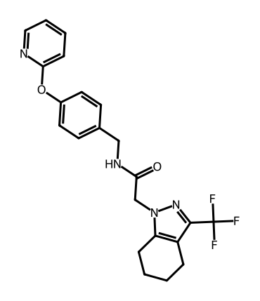 O=C(Cn1nc(C(F)(F)F)c2c1CCCC2)NCc1ccc(Oc2ccccn2)cc1